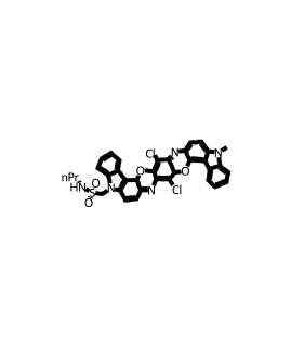 CCCNS(=O)(=O)Cn1c2c(c3ccccc31)C1OC3=C(Cl)C4=Nc5ccc6c(c5OC4C(Cl)=C3N=C1C=C2)c1ccccc1n6C